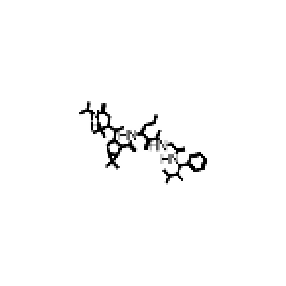 C=C(CC(C(C)C1CC2C(C1C(=C)NC(CCC)C(=C)C(C)NCC(=C)NC(c1ccccc1)C(C)C(C)C)C2(C)C)C(C)(C)C)NC(C)C